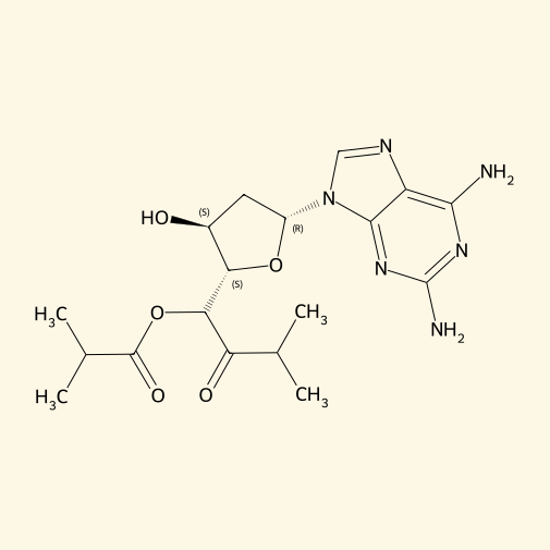 CC(C)C(=O)OC(C(=O)C(C)C)[C@H]1O[C@@H](n2cnc3c(N)nc(N)nc32)C[C@@H]1O